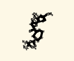 COc1cc(C)ccc1-c1oc(C(=O)C2CCCCN(C(=O)OC(C)(C)C)C2)cc1C